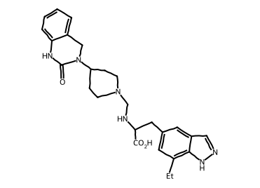 CCc1cc(CC(NCN2CCC(N3Cc4ccccc4NC3=O)CC2)C(=O)O)cc2cn[nH]c12